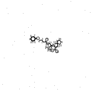 O=C(CCCOc1ccccc1)NCC(=O)N1CC2(CCCC2)CC1C(=O)O